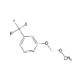 COCOc1c[c]cc(C(F)(F)F)c1